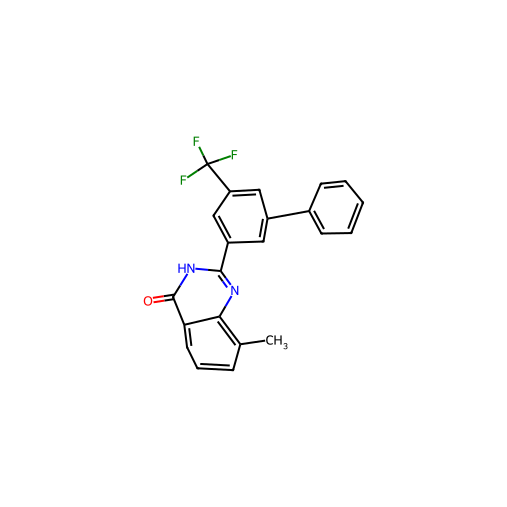 Cc1cccc2c(=O)[nH]c(-c3cc(-c4ccccc4)cc(C(F)(F)F)c3)nc12